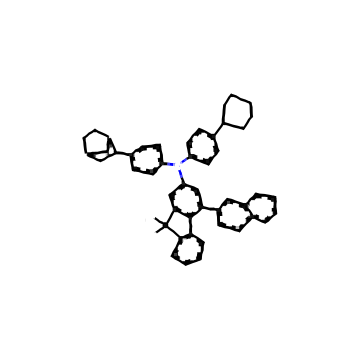 CC1(C)c2ccccc2-c2c(-c3ccc4ccccc4c3)cc(N(c3ccc(C4CCCCC4)cc3)c3ccc(C4CC5CCC4C5)cc3)cc21